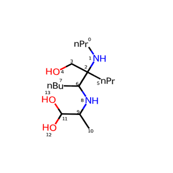 C[CH]CNC(CO)(CCC)C(CCCC)NC(C)C(O)O